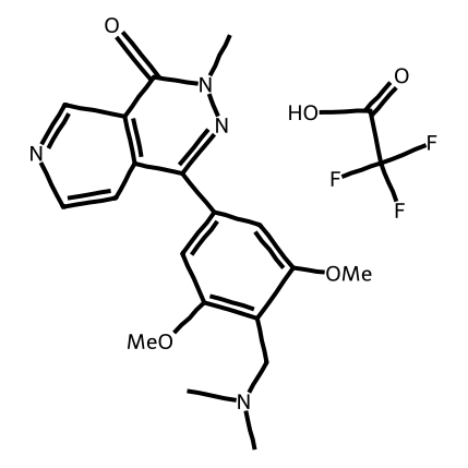 COc1cc(-c2nn(C)c(=O)c3cnccc23)cc(OC)c1CN(C)C.O=C(O)C(F)(F)F